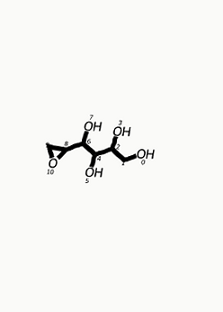 OCC(O)C(O)C(O)C1CO1